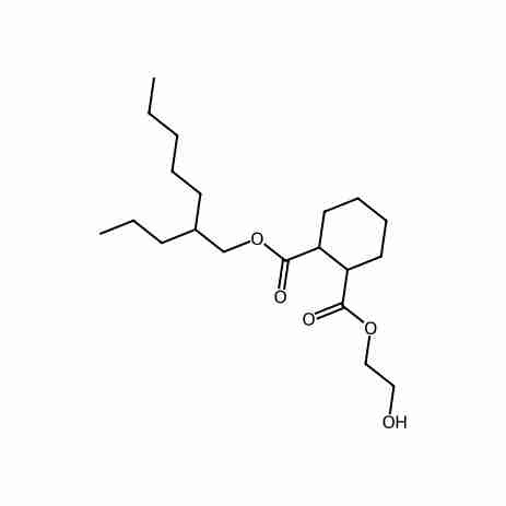 CCCCCC(CCC)COC(=O)C1CCCCC1C(=O)OCCO